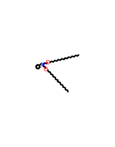 CCCCCCCCC=CCCCCCCCCOCCN(CCOCCCCCCCCC=CCCCCCCCC)Cc1ccccc1